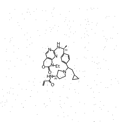 C=CC(=O)N[C@@H]1CCN(C(CC2CC2)c2ccc([C@H](C)Nc3ncc4c(n3)N(CC)C(=O)OC4)cc2)C1